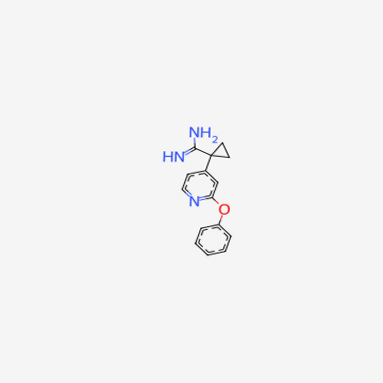 N=C(N)C1(c2ccnc(Oc3ccccc3)c2)CC1